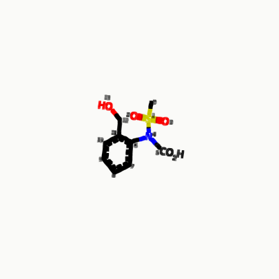 CS(=O)(=O)N(C(=O)O)c1ccccc1CO